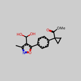 COC(=O)C1(c2ccc(-c3onc(C)c3C(O)O)cc2)CC1